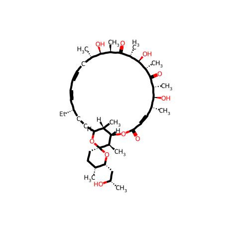 CC[C@@H]1C=CC=CC[C@H](C)[C@@H](O)[C@@H](C)C(=O)[C@H](C)[C@@H](O)[C@H](C)C(=O)[C@H](C)[C@@H](O)[C@H](C)C=CC(=O)O[C@H]2[C@@H](C)[C@@H](CC1)O[C@@]1(CC[C@@H](C)[C@@H](C[C@H](C)O)O1)[C@@H]2C